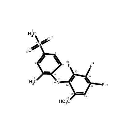 Cc1cc(S(C)(=O)=O)ccc1Nc1c(C(=O)O)cc(F)c(F)c1F